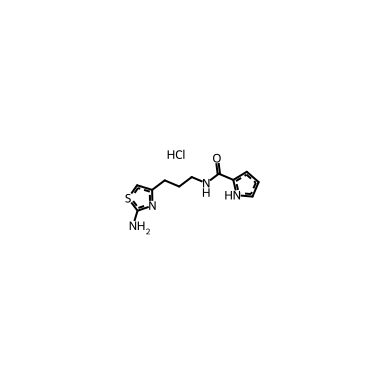 Cl.Nc1nc(CCCNC(=O)c2ccc[nH]2)cs1